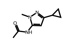 CC(=O)Nc1cc(C2CC2)nn1C